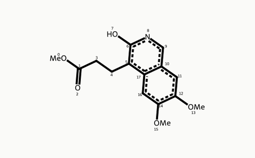 COC(=O)CCc1c(O)ncc2cc(OC)c(OC)cc12